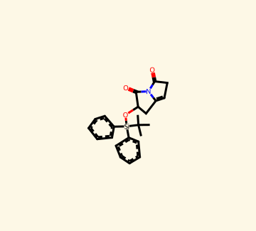 CC(C)(C)[Si](OC1CC2=CCC(=O)N2C1=O)(c1ccccc1)c1ccccc1